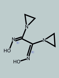 O/N=C(\C(=N/O)N1CC1)N1CC1